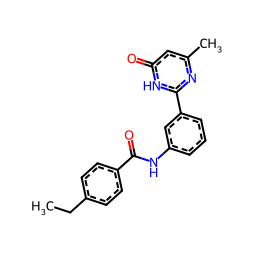 CCc1ccc(C(=O)Nc2cccc(-c3nc(C)cc(=O)[nH]3)c2)cc1